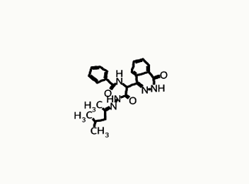 C/C(CC(C)C)=N\NC(=O)C(NC(=O)c1ccccc1)c1n[nH]c(=O)c2ccccc12